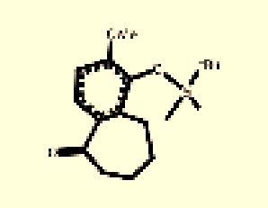 COc1ccc2c(c1O[Si](C)(C)C(C)(C)C)CCCCC2=O